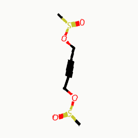 CS(=O)OCC#CCOS(C)=O